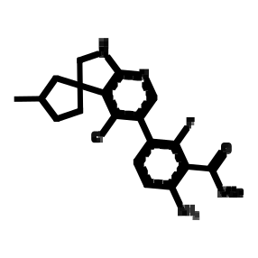 CNC(=O)c1c(N)ccc(-c2cnc3c(c2Cl)C2(CCC(C)C2)CN3)c1F